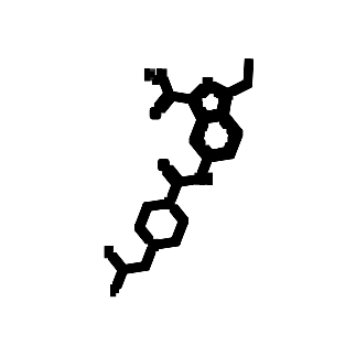 CCn1nc(C(N)=O)c2cc(NC(=O)N3CCN(CC(F)F)CC3)ccc21